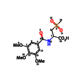 COc1cc(C(=O)NC(CS(C)(=O)=O)C(=O)O)cc(OC)c1OC